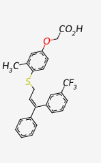 Cc1cc(OCC(=O)O)ccc1SC/C=C(/c1ccccc1)c1cccc(C(F)(F)F)c1